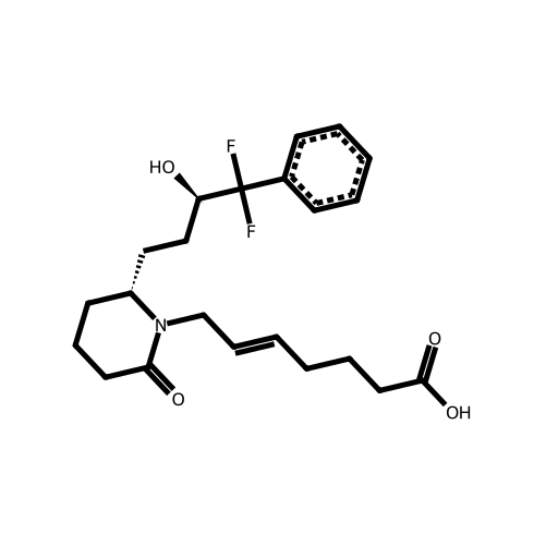 O=C(O)CCCC=CCN1C(=O)CCC[C@@H]1CC[C@@H](O)C(F)(F)c1ccccc1